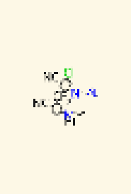 C=C(C)CN(CC)c1ccc(C#N)c(C(F)(F)F)c1.CN(C)CCN(C)c1ccc(C#N)c(Cl)c1